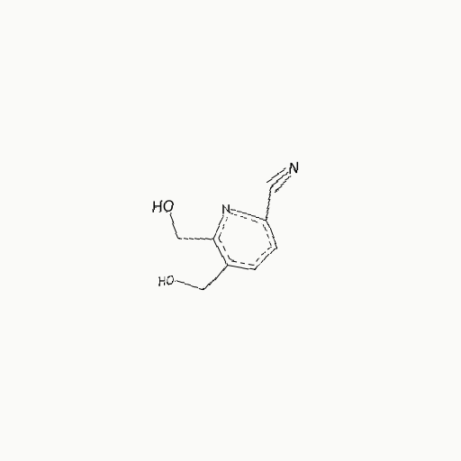 N#Cc1ccc(CO)c(CO)n1